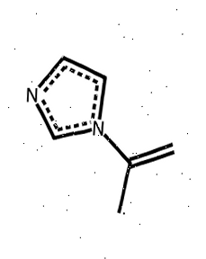 [CH2]C(=C)n1ccnc1